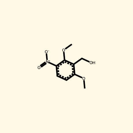 COc1ccc([N+](=O)[O-])c(OC)c1CO